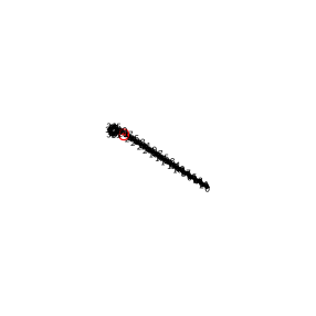 CCCCCCCCCCCCCCCCCCCCCCCCCCCCOCc1ccccc1